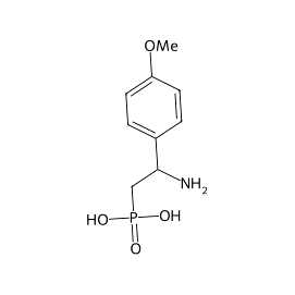 COc1ccc(C(N)CP(=O)(O)O)cc1